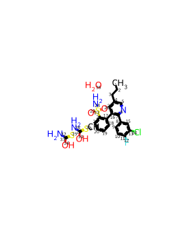 C.CCCc1cnc(-c2ccc(F)c(Cl)c2)c(-c2ccccc2S(N)(=O)=O)c1.NC(O)=S.NC(O)=S.O